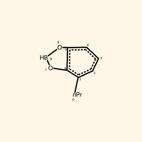 CCCc1cccc2c1OBO2